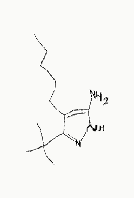 CCCCCc1c(C(C)(C)C)n[nH]c1N